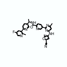 Cc1cc(Nc2cc(C#N)on2)nc(-c2ccc(C(=O)NC(C)c3ccc(-c4cc(F)cnc4C)nc3)nc2)n1